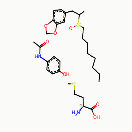 CC(=O)Nc1ccc(O)cc1.CCCCCCCC[S+]([O-])C(C)Cc1ccc2c(c1)OCO2.CSCC[C@H](N)C(=O)O